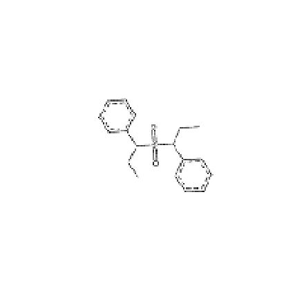 CCC(c1ccccc1)S(=O)(=O)C(CC)c1ccccc1